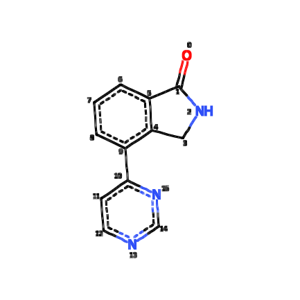 O=C1NCc2c1cccc2-c1ccncn1